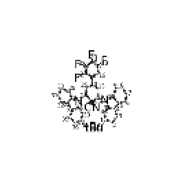 CC(C)(C)c1ccc2c3ccccc3n(-c3cc(-c4cc(F)c(F)c(F)c4F)cc(-n4c5ccccc5c5ccc(C(C)(C)C)cc54)c3C#N)c2c1